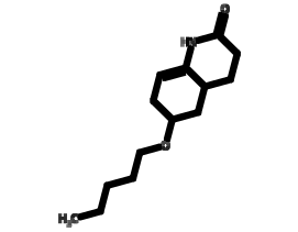 CCCCCOC1CC=C2NC(=O)CCC2C1